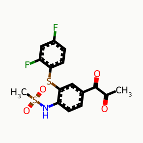 CC(=O)C(=O)c1ccc(NS(C)(=O)=O)c(Sc2ccc(F)cc2F)c1